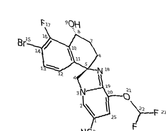 N#CC1=CN2C[C@@]3(CC[C@@H](O)c4c3ccc(Br)c4F)N=C2C(OC(F)F)=C1